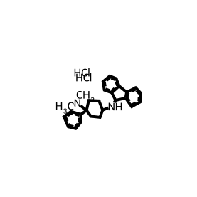 CN(C)C1(c2ccccc2)CCC(NC2c3ccccc3-c3ccccc32)CC1.Cl.Cl